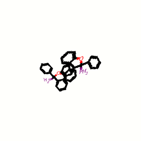 PC(Oc1ccccc1-c1ccccc1OC(P)(c1ccccc1)c1ccccc1)(c1ccccc1)c1ccccc1